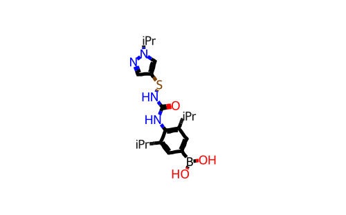 CC(C)c1cc(B(O)O)cc(C(C)C)c1NC(=O)NSc1cnn(C(C)C)c1